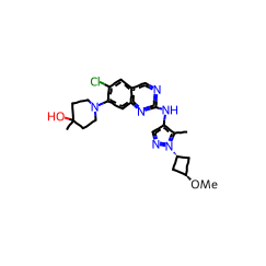 CO[C@H]1C[C@H](n2ncc(Nc3ncc4cc(Cl)c(N5CCC(C)(O)CC5)cc4n3)c2C)C1